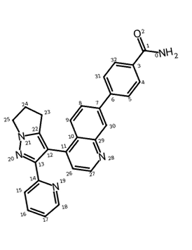 NC(=O)c1ccc(-c2ccc3c(-c4c(-c5ccccn5)nn5c4CCC5)ccnc3c2)cc1